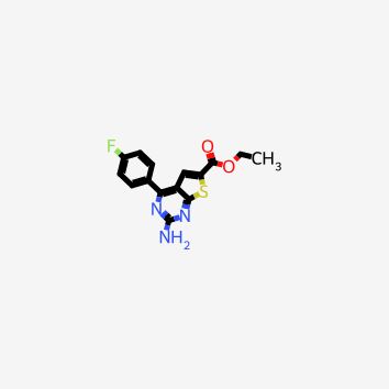 CCOC(=O)c1cc2c(-c3ccc(F)cc3)nc(N)nc2s1